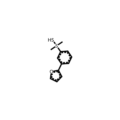 CS(C)(S)c1cccc(-c2ccco2)c1